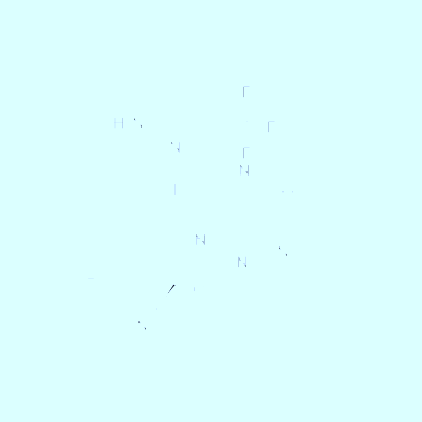 Cc1cc(N)nc(-c2nc3c4c(nc(OC[C@@]56CCCN5C[C@H](F)C6)nc4c2F)N2CCCCC2CO3)c1C(F)(F)F